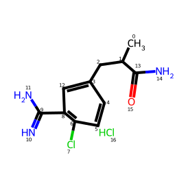 CC(Cc1ccc(Cl)c(C(=N)N)c1)C(N)=O.Cl